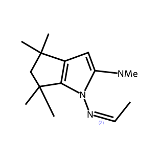 C/C=N\n1c(NC)cc2c1C(C)(C)CC2(C)C